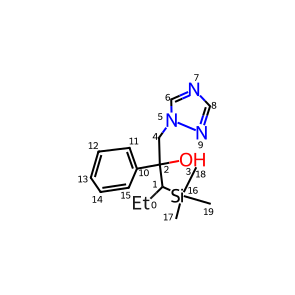 CCC(C(O)(Cn1cncn1)c1ccccc1)[Si](C)(C)C